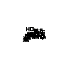 COc1cc(-c2ccccc2C(F)(F)F)nc2nc(-c3cc(C(C)(C)C)nn3C)[nH]c12.Cl